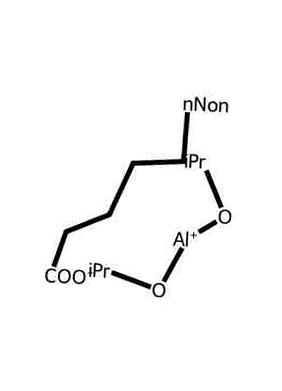 CC(C)[O][Al+][O]C(C)C.CCCCCCCCCCCCCC(=O)[O-]